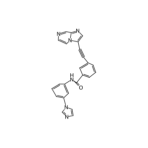 O=C(Nc1cccc(-n2ccnc2)c1)c1cccc(C#Cc2cnc3cnccn23)c1